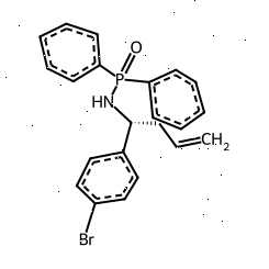 C=CC[C@@H](NP(=O)(c1ccccc1)c1ccccc1)c1ccc(Br)cc1